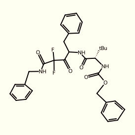 CC(C)(C)[C@H](NC(=O)OCc1ccccc1)C(=O)NC(Cc1ccccc1)C(=O)C(F)(F)C(=O)NCc1ccccc1